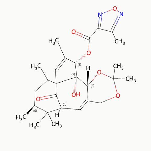 CC1=CC23C(=O)[C@@H](C=C4COC(C)(C)O[C@H]4[C@]2(O)[C@H]1OC(=O)c1nonc1C)C(C)(C)[C@@H](C)CC3C